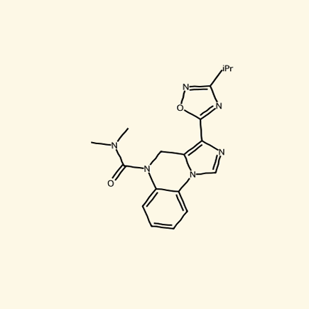 CC(C)c1noc(-c2ncn3c2CN(C(=O)N(C)C)c2ccccc2-3)n1